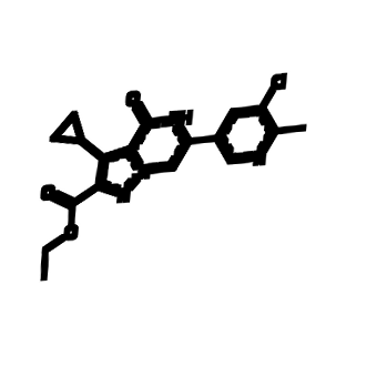 CCOC(=O)c1nn2cc(-c3cnc(C)c(Cl)c3)[nH]c(=O)c2c1C1CC1